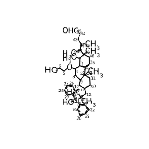 CC1C2C(OCCO)CC3CC(CC(C)(C)[Si](O)(c4ccccc4)c4ccccc4)CCC3(C)C2CCC1(C)C(C)[C@H](C)CCC=O